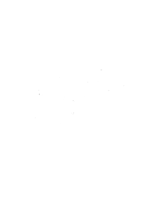 CC(C)(C)C(CCO)C(=O)N1C(=O)OCC1Cc1ccccc1